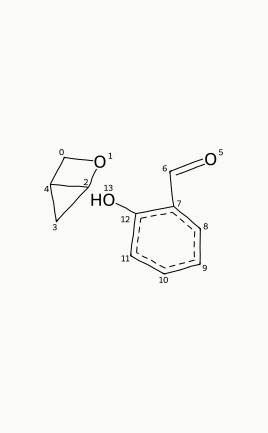 C1OC2CC12.O=Cc1ccccc1O